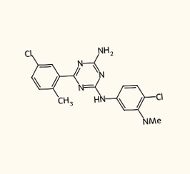 CNc1cc(Nc2nc(N)nc(-c3cc(Cl)ccc3C)n2)ccc1Cl